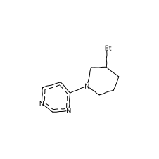 CCC1CCCN(c2ccncn2)C1